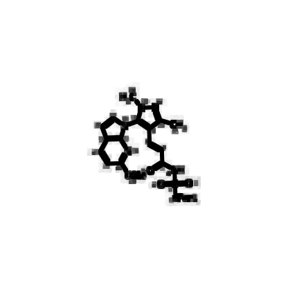 CCCCCS(=O)(=O)NC(=O)C=Cc1c(C)nn(C)c1-n1ccc2ccc(OC)nc21